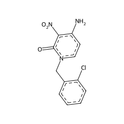 Nc1ccn(Cc2ccccc2Cl)c(=O)c1[N+](=O)[O-]